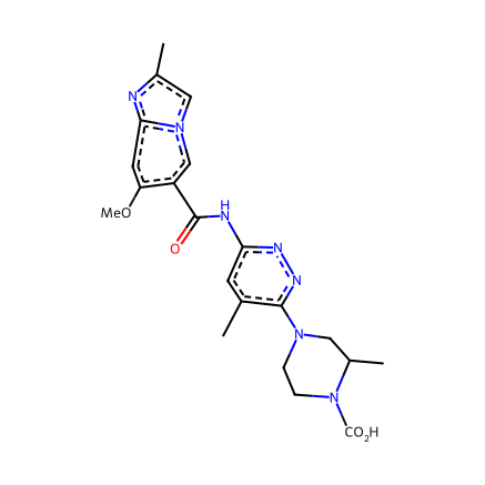 COc1cc2nc(C)cn2cc1C(=O)Nc1cc(C)c(N2CCN(C(=O)O)C(C)C2)nn1